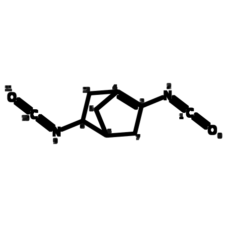 O=C=NC1=C2CC(C1)C(N=C=O)C2